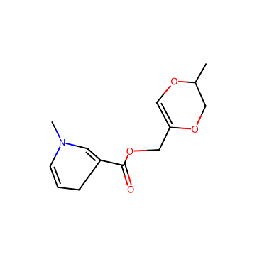 CC1COC(COC(=O)C2=CN(C)C=CC2)=CO1